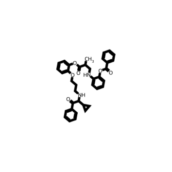 CC(CNc1ccccc1OC(=O)c1ccccc1)C(=O)Oc1ccccc1OCCCNC(C(=O)c1ccccc1)C1CC1